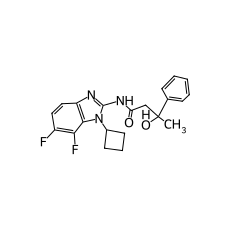 CC(O)(CC(=O)Nc1nc2ccc(F)c(F)c2n1C1CCC1)c1ccccc1